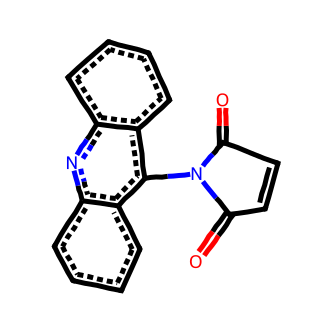 O=C1C=CC(=O)N1c1c2ccccc2nc2ccccc12